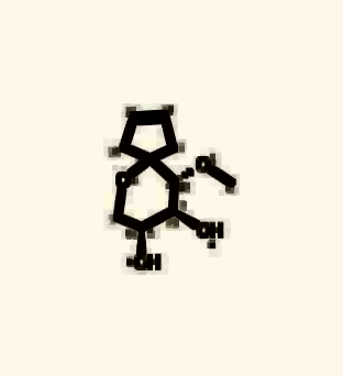 CO[C@@H]1[C@@H](O)[C@@H](O)COC12CC=CC2